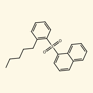 CCCCCc1[c]cccc1S(=O)(=O)c1cccc2ccccc12